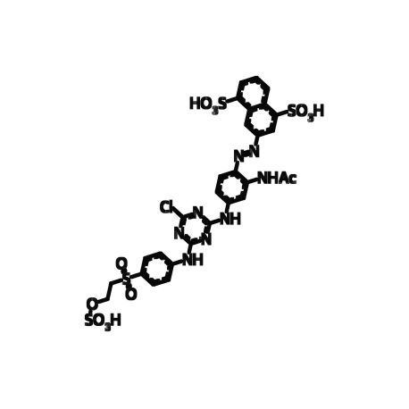 CC(=O)Nc1cc(Nc2nc(Cl)nc(Nc3ccc(S(=O)(=O)CCOS(=O)(=O)O)cc3)n2)ccc1N=Nc1cc(S(=O)(=O)O)c2cccc(S(=O)(=O)O)c2c1